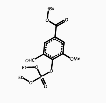 CCOP(=O)(OCC)Oc1c(C=O)cc(C(=O)OC(C)(C)C)cc1OC